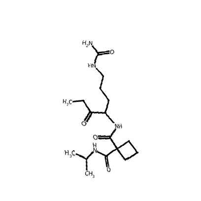 CCC(=O)C(CCCNC(N)=O)NC(=O)C1(C(=O)NC(C)C)CCC1